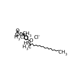 CCCCCCCCCCCCCCCCC(C)NC(=O)c1ccc([N+](C)(C)CN2CCCC2=O)cc1.[Cl-]